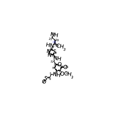 COc1c(NCC[S+]=O)cc(CNc2nnc(N/C(C)=C\C=N)s2)oc1=O